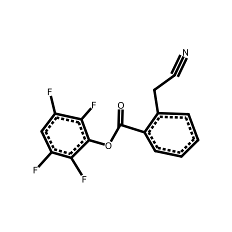 N#CCc1ccccc1C(=O)Oc1c(F)c(F)cc(F)c1F